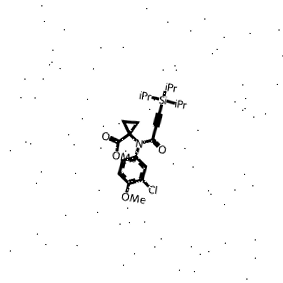 COC(=O)C1(N(C(=O)C#C[Si](C(C)C)(C(C)C)C(C)C)c2ccc(OC)c(Cl)c2)CC1